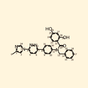 Cc1cn(-c2ccc(-c3ccc(N(Cc4ccccc4)C(=O)c4ccc(O)cc4O)cc3)nn2)cn1